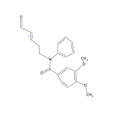 COc1ccc(C(=O)N(CC/C=C/C=O)c2ccccc2)cc1OC